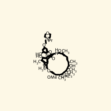 CO[C@H]1/C=C/O[C@@]2(C)Oc3c(C)c(O)c4c(=O)c(c5oc6cc(OCC[N+]7(C(C)C)CCOCC7)cc(O)c6nc-5c4c3C2=O)NC(=O)/C(C)=C\C=C\[C@H](C)[C@H](O)[C@@H](C)[C@@H](C)[C@@H](C)[C@H](OC(C)=O)[C@@H]1C